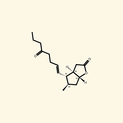 CCCC(=O)CCC=C[C@@H]1[C@H]2CC(=O)O[C@@H]2C[C@H]1C